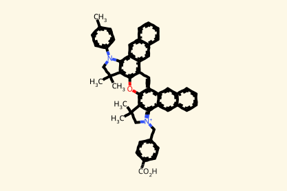 Cc1ccc(N2CC(C)(C)c3c4c(c5cc6ccccc6cc5c32)C=c2c(c3c(c5cc6ccccc6cc25)=[N+](Cc2ccc(C(=O)O)cc2)CC3(C)C)O4)cc1